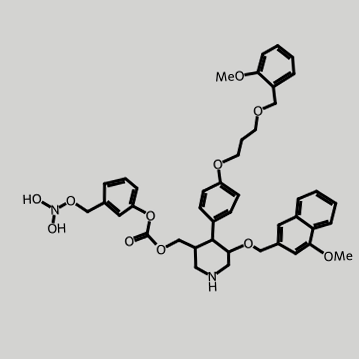 COc1ccccc1COCCCOc1ccc(C2C(COC(=O)Oc3cccc(CON(O)O)c3)CNCC2OCc2cc(OC)c3ccccc3c2)cc1